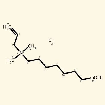 C=CC[N+](C)(C)CCCCCCCCCCCCCCC.[Cl-]